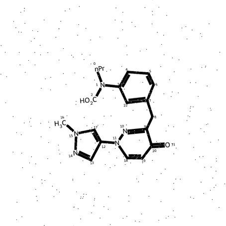 CCCN(C(=O)O)c1cccc(Cc2nn(-c3cnn(C)c3)ccc2=O)c1